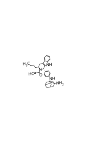 C#CC(=O)N1[C@@H](CCCC)Cc2c([nH]c3ccccc23)[C@@H]1c1ccc(NC23CC4CC(CC(N)(C4)C2)C3)cc1